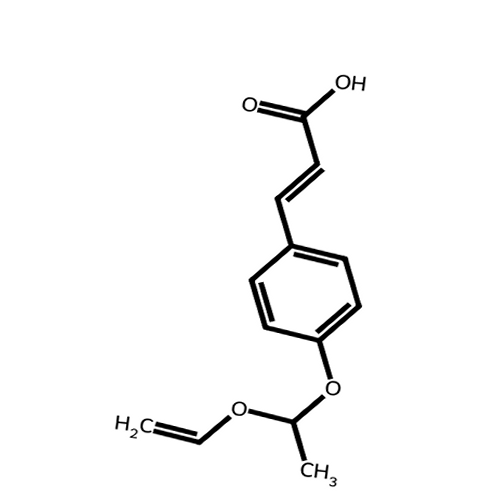 C=COC(C)Oc1ccc(/C=C/C(=O)O)cc1